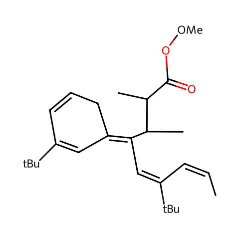 C\C=C/C(=C\C(=C1/C=C(C(C)(C)C)C=CC1)C(C)C(C)C(=O)OOC)C(C)(C)C